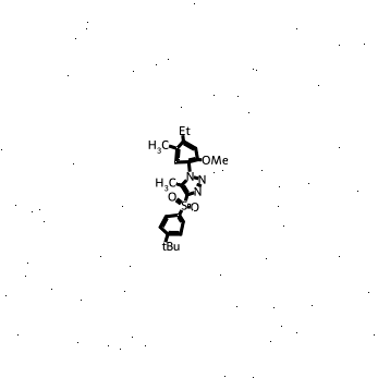 CCc1cc(OC)c(-n2nnc(S(=O)(=O)c3ccc(C(C)(C)C)cc3)c2C)cc1C